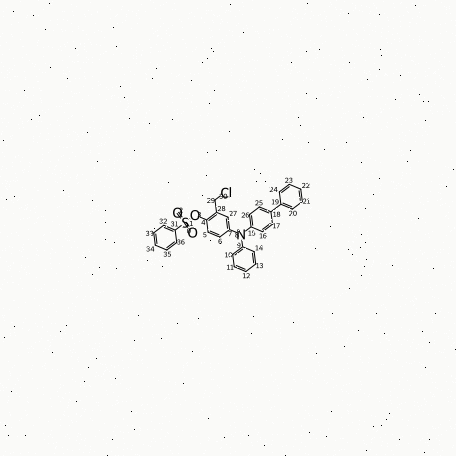 O=S(=O)(Oc1ccc(N(c2ccccc2)c2ccc(-c3ccccc3)cc2)cc1CCl)c1ccccc1